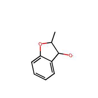 CC1Oc2ccccc2C1[O]